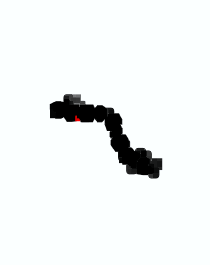 Cn1c2ccncc2c2ccc(-c3ccc(N4CC(OC5CCN(CCN6CCN(c7ccc8c(c7)C(=O)N(C7CCC(=O)NC7=O)C8=O)CC6)CC5)C4)cc3)cc21